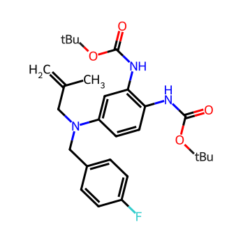 C=C(C)CN(Cc1ccc(F)cc1)c1ccc(NC(=O)OC(C)(C)C)c(NC(=O)OC(C)(C)C)c1